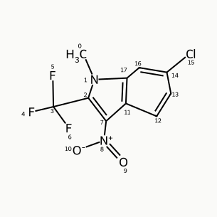 Cn1c(C(F)(F)F)c([N+](=O)[O-])c2ccc(Cl)cc21